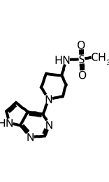 CS(=O)(=O)NC1CCN(c2ncnc3[nH]ccc23)CC1